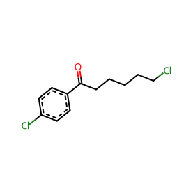 O=C(CCCCCCl)c1ccc(Cl)cc1